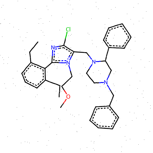 CCc1cccc(CC)c1-c1nc(Cl)c(CN2CCN(Cc3ccccc3)CC2c2ccccc2)n1CCOC